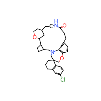 O=C1CCc2ccc3c(c2)N(CC2CCC2C2CC(CCN1)CCO2)CC1(CCCc2cc(Cl)ccc21)CO3